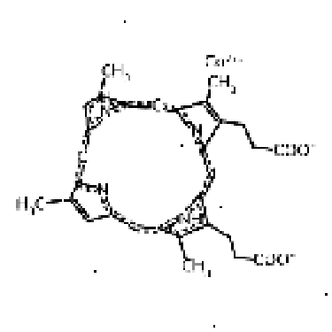 CC1=Cc2cc3[nH]c(cc4nc(cc5[nH]c(cc1n2)cc5C)C(C)=C4CCC(=O)[O-])c(CCC(=O)[O-])c3C.[Co+2]